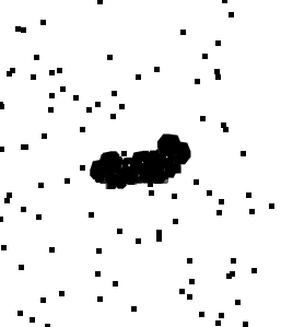 COC1C(OC(=O)N(C(C)=S)c2cccc3cccnc23)CCC(O)(CSc2cccc3cccnc23)C1C1(C)OC1CC=C(C)C